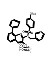 COc1ccc(S(=O)(=O)N(Cc2cccnc2)c2nc3c(-c4ccccc4)cccc3cc2C(=O)O)cc1.NO.NO